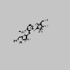 CO[C@@H]1OC[C@@H](OC)C(OC2OC(CO)C(O)[C@H]2O)C1OC1OC(CO)C(O)[C@H]1O